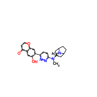 CN(c1ccc(-c2cc3occc(=O)c3cc2O)nn1)C1CC2CCC(C1)N2C